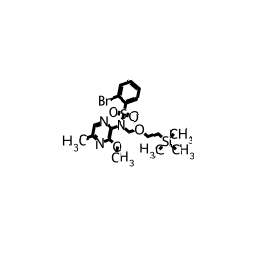 COc1nc(C)cnc1N(COCC[Si](C)(C)C)S(=O)(=O)c1ccccc1Br